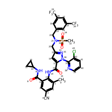 Cc1cc(C#N)cc(C(=O)NC2CC2)c1NC(=O)c1cc(CN(Cc2cc(C(F)(F)F)cc(C(F)(F)F)c2)S(C)(=O)=O)nn1-c1ncccc1Cl